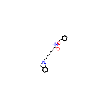 O=C(CCCCCCCN1CCc2ccccc2C1)NOCc1ccccc1